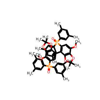 COc1cc(P(=O)(c2cc(C)cc(C)c2)c2cc(C)cc(C)c2)c(-c2cc(P(=O)(c3cc(C)cc(C)c3)c3cc(C)cc(C)c3)c(OC)c3c2OC(C)(C)O3)c2c1OC(C)(C)O2